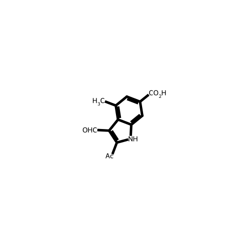 CC(=O)c1[nH]c2cc(C(=O)O)cc(C)c2c1C=O